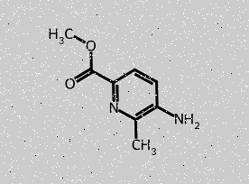 COC(=O)c1ccc(N)c(C)n1